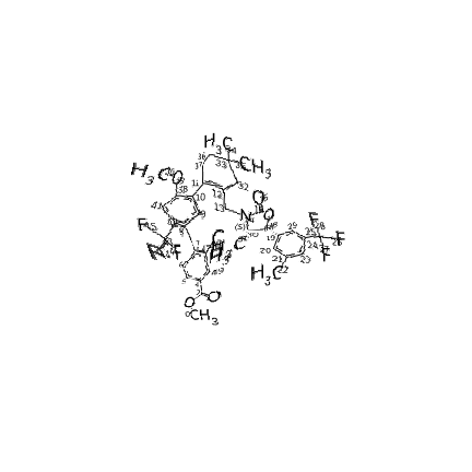 COC(=O)c1ccc(-c2cc(C3=C(CN4C(=O)O[C@H](c5cc(C)cc(C(F)(F)F)c5)[C@@H]4C)CC(C)(C)CC3)c(OC)cc2C(F)(F)F)c(C)c1